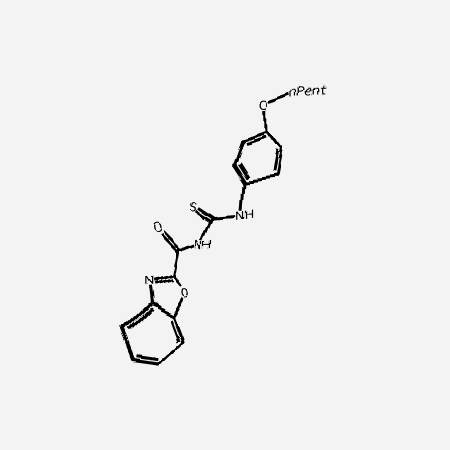 CCCCCOc1ccc(NC(=S)NC(=O)c2nc3ccccc3o2)cc1